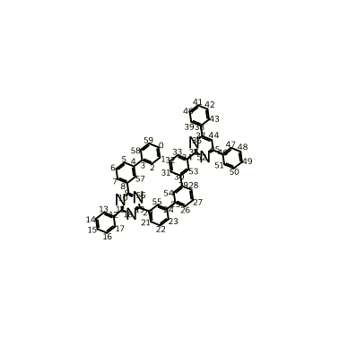 c1ccc(-c2cccc(-c3nc(-c4ccccc4)nc(-c4cccc(-c5cccc(-c6cccc(-c7nc(-c8ccccc8)cc(-c8ccccc8)n7)c6)c5)c4)n3)c2)cc1